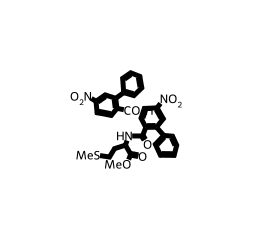 COC(=O)C(CCSC)NC(=O)c1ccc([N+](=O)[O-])cc1-c1ccccc1.O=C(O)c1ccc([N+](=O)[O-])cc1-c1ccccc1